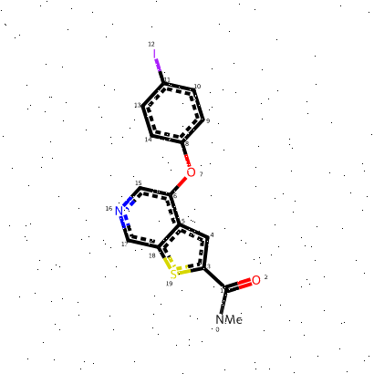 CNC(=O)c1cc2c(Oc3ccc(I)cc3)cncc2s1